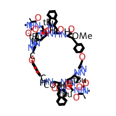 COC(=O)[C@@H]1Cc2ccc(cc2)OCc2cn(nn2)C2CCN(C(=O)[C@@H](NC(=O)[C@H](C)N(C)C(=O)OC(C)(C)C)C(C)(C)C)[C@@H]2C(=O)N[C@@H](Cc2ccc3ccccc3c2)C(=O)N[C@H](C(=O)O)Cc2ccc(cc2)OCc2cn(nn2)[C@@H]2CCN(C(=O)[C@@H](NC(=O)[C@H](C)N(C)C(=O)OC(C)(C)C)C(C)(C)C)[C@@H]2C(=O)N[C@@H](Cc2ccc3ccccc3c2)C(=O)N1